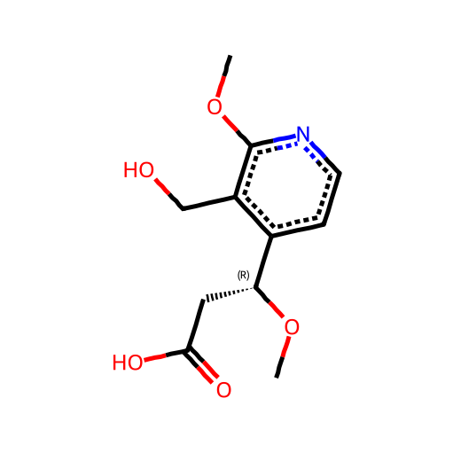 COc1nccc([C@@H](CC(=O)O)OC)c1CO